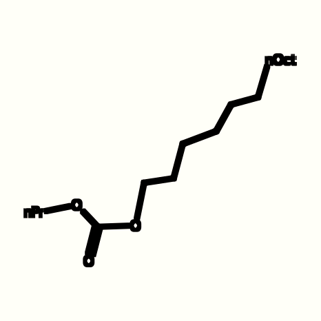 CCCCCCCCCCCCCCOC(=O)OCCC